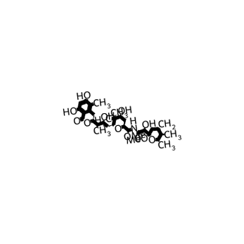 C=C1C[C@](OC)([C@H](O)C(=O)N[C@@H](OC)[C@@H]2C[C@@H](O)C(C)(C)[C@@H](C[C@H](O)[C@@H](C)[C@H]3Cc4c(C)c(O)cc(O)c4C(=O)O3)O2)O[C@H](C)[C@@H]1C